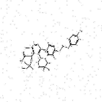 CCC(C)(C)OC(C(=O)O)c1c(C)ncc(-c2cc(C)c(OCCc3ccc(F)cc3)cn2)c1N1CCC(C)(C)CC1